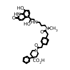 CN(CCCNCC(O)c1ccc(O)c2[nH]c(=O)ccc12)C(=O)Cc1ccc(CC(=O)N2CCC(C(=O)O)(c3ccccc3)CC2)cc1